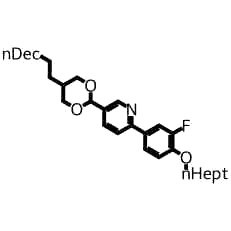 CCCCCCCCCCCCC1COC(c2ccc(-c3ccc(OCCCCCCC)c(F)c3)nc2)OC1